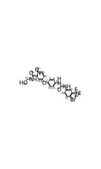 O=C(Nc1ccc(Oc2cc[n+]([O-])c(C(=O)NCO)c2)cc1)Nc1ccc(Br)c(C(F)(F)F)c1